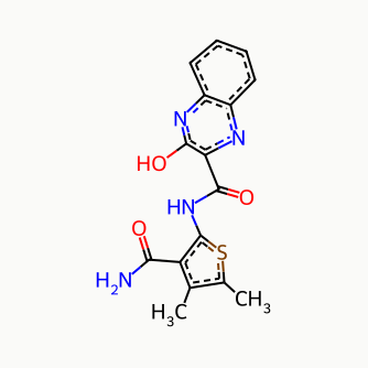 Cc1sc(NC(=O)c2nc3ccccc3nc2O)c(C(N)=O)c1C